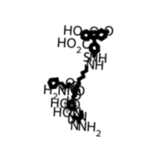 Nc1ncnc2c1ncn2[C@@H]1O[C@H](COP(=O)(NC(=O)[C@@H](N)Cc2ccccc2)OCCCCCCNC(=S)Nc2ccc(-c3c4ccc(=O)cc-4oc4cc(O)ccc34)c(C(=O)O)c2)[C@@H](O)[C@H]1O